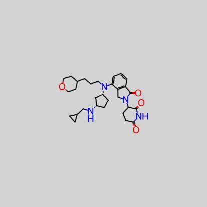 O=C1CCC(N2Cc3c(cccc3N(CCCC3CCOCC3)[C@@H]3CC[C@H](NCC4CC4)C3)C2=O)C(=O)N1